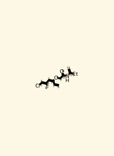 C=C/C(=C\C(F)=C\Cl)OCC(=O)NC(=C)CC